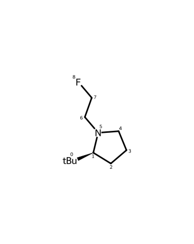 CC(C)(C)[C@@H]1CCCN1CCF